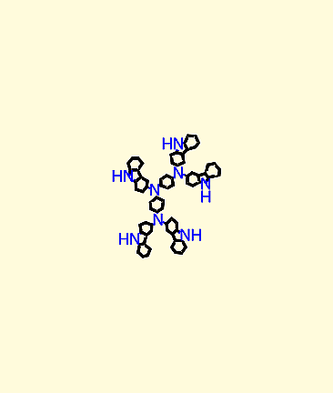 c1ccc2c(c1)[nH]c1ccc(N(c3ccc(N(c4ccc5[nH]c6ccccc6c5c4)c4ccc5[nH]c6ccccc6c5c4)cc3)c3ccc(N(c4ccc5[nH]c6ccccc6c5c4)c4ccc5[nH]c6ccccc6c5c4)cc3)cc12